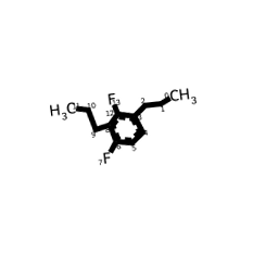 CCCc1ccc(F)c(CCC)c1F